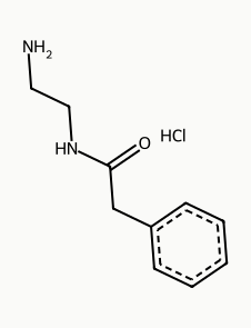 Cl.NCCNC(=O)Cc1ccccc1